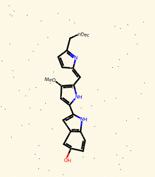 CCCCCCCCCCCC1=N/C(=C/c2[nH]c(-c3cc4cc(O)ccc4[nH]3)cc2OC)C=C1